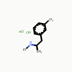 CCNC(C)Cc1cccc(C(F)(F)F)c1.Cl.Cl